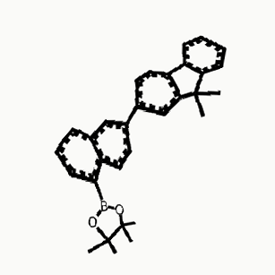 CC1(C)c2ccccc2-c2ccc(-c3ccc4c(B5OC(C)(C)C(C)(C)O5)cccc4c3)cc21